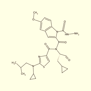 COc1ccc2c(c1)cc(C(=O)N(C(=O)c1csc(N(CC(C)C)C3CC3)n1)[C@H]([C]=O)CC1CC1)n2C(=O)NN